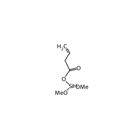 C=CCC(=O)O[SiH](OC)OC